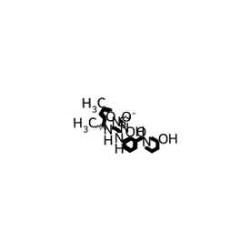 CC[C@@H](Nc1n[s+]([O-])nc1Nc1cccc(C(=O)N2CCCC(O)C2)c1O)c1cc(C)co1